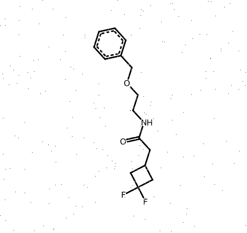 O=C(CC1CC(F)(F)C1)N[CH]COCc1ccccc1